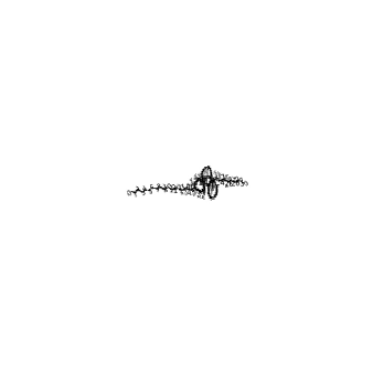 CCCCCCCCCCCCCCCCc1ccc(OC(=O)CCCCCCCC)cc1